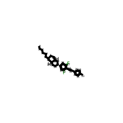 CCCCCCC1CC[C@@H]2C[C@H](c3cc(F)c(C#Cc4ccc(C)cc4)c(F)c3)CC[C@@H]2C1